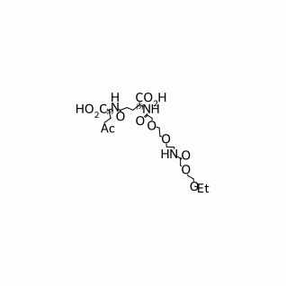 CCOCCOCC(=O)NCCOCCOCC(=O)N[C@@H](CCC(=O)N[C@@H](CCC(C)=O)C(=O)O)C(=O)O